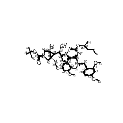 CCC[C@H](C)Oc1nc(N(Cc2ccc(OC)cc2OC)Cc2ccc(OC)cc2OC)c2ncc([C@@H](O)C3[C@H]4CN(C(=O)OC(C)(C)C)C[C@@H]34)n2n1